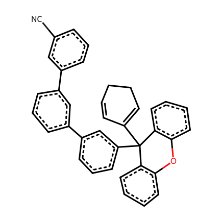 N#Cc1cccc(-c2cccc(-c3cccc(C4(C5=CCCC=C5)c5ccccc5Oc5ccccc54)c3)c2)c1